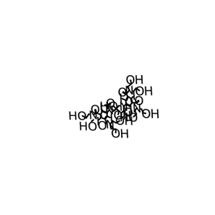 CC(=O)N(CC(O)(CO)CN(C(C)=O)c1c(I)c(C(=O)N(CCO)CCO)c(I)c(C(=O)N(CCO)CCO)c1I)c1c(I)c(C(=O)N(CCO)CCO)c(I)c(C(=O)N(CCO)CCO)c1I